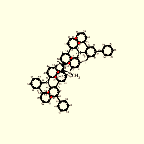 C[Si]1(C)c2ccc(N(c3ccccc3-c3ccccc3)c3c(F)cc(-c4ccccc4)cc3-c3ccccc3)cc2-c2oc3ccc(N(c4ccccc4-c4ccccc4)c4c(F)cc(-c5ccccc5)cc4-c4ccccc4)cc3c21